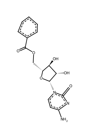 Nc1ccn([C@@H]2O[C@H](COC(=O)c3ccccc3)[C@@H](O)[C@@H]2O)c(=O)n1